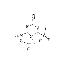 NC1N=C(Cl)N=C(C(F)(F)F)N1OC(F)F